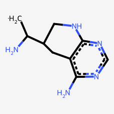 [CH2]C(N)C1CNc2ncnc(N)c2C1